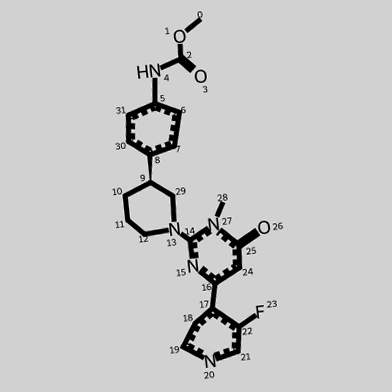 COC(=O)Nc1ccc([C@@H]2CCCN(c3nc(-c4ccncc4F)cc(=O)n3C)C2)cc1